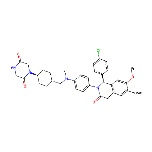 COc1cc2c(cc1OC(C)C)[C@H](c1ccc(Cl)cc1)N(c1ccc(N(C)C[C@H]3CC[C@H](N4CC(=O)NCC4=O)CC3)cc1)C(=O)C2